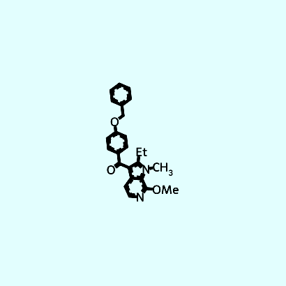 CCc1c(C(=O)c2ccc(OCc3ccccc3)cc2)c2ccnc(OC)c2n1C